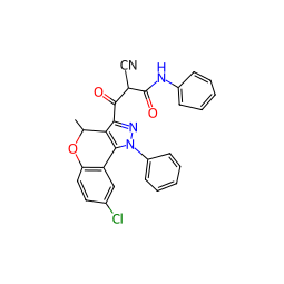 CC1Oc2ccc(Cl)cc2-c2c1c(C(=O)C(C#N)C(=O)Nc1ccccc1)nn2-c1ccccc1